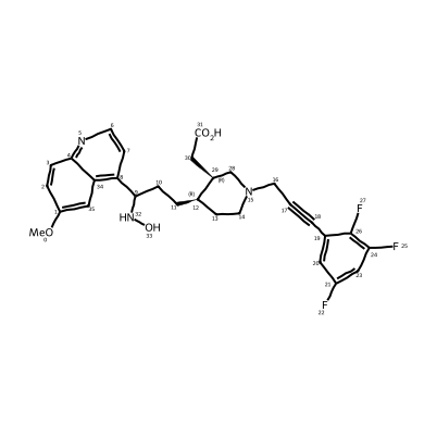 COc1ccc2nccc(C(CC[C@@H]3CCN(CC#Cc4cc(F)cc(F)c4F)C[C@@H]3CC(=O)O)NO)c2c1